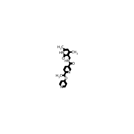 Cc1cc(C)c(CNC(=O)c2ccc(C(C)Oc3ccncc3)nc2)c(=O)[nH]1